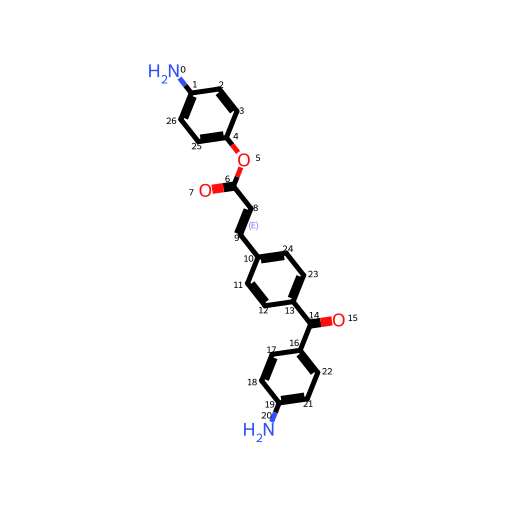 Nc1ccc(OC(=O)/C=C/c2ccc(C(=O)c3ccc(N)cc3)cc2)cc1